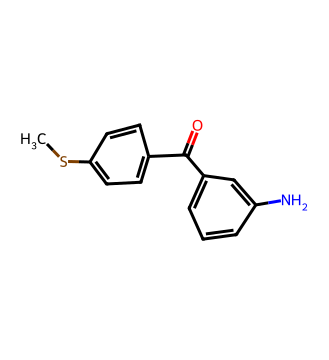 CSc1ccc(C(=O)c2cccc(N)c2)cc1